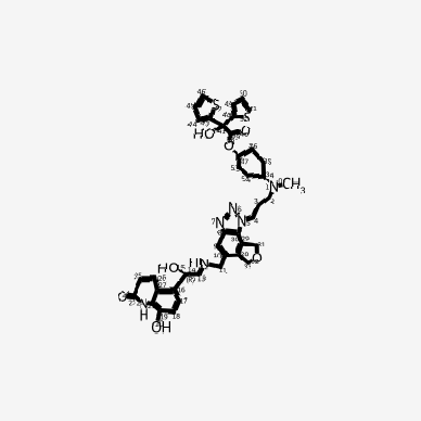 CN(CCCn1nnc2cc(CNC[C@H](O)c3ccc(O)c4[nH]c(=O)ccc34)c3c(c21)COC3)[C@H]1CC[C@H](OC(=O)C(O)(c2cccs2)c2cccs2)CC1